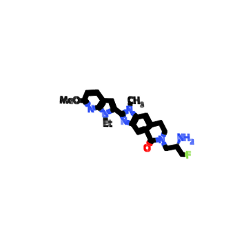 CCn1c(-c2nc3cc4c(cc3n2C)CCN(C[C@H](N)CF)C4=O)cc2ccc(OC)nc21